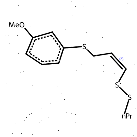 CCCSS/C=C\CSc1cccc(OC)c1